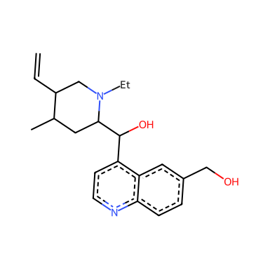 C=CC1CN(CC)C(C(O)c2ccnc3ccc(CO)cc23)CC1C